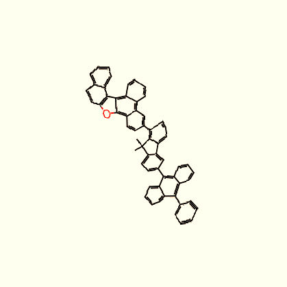 CC1(C)c2ccc(-c3c4ccccc4c(-c4ccccc4)c4ccccc34)cc2-c2cccc(-c3ccc4c(c3)c3ccccc3c3c4oc4ccc5ccccc5c43)c21